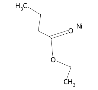 CCCC(=O)OCC.[Ni]